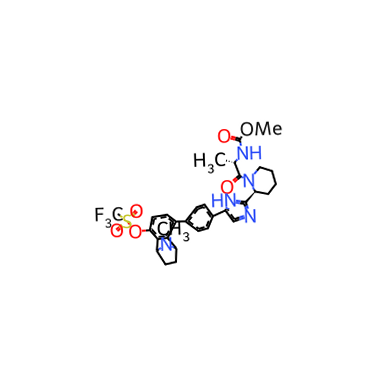 COC(=O)N[C@@H](C)C(=O)N1CCCC[C@H]1c1ncc(-c2ccc(-c3ccc(OS(=O)(=O)C(F)(F)F)c4c3C3CCC4N3C)cc2)[nH]1